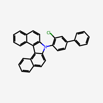 Clc1cc(-c2ccccc2)ccc1-n1c2ccc3ccccc3c2c2c3ccccc3ccc21